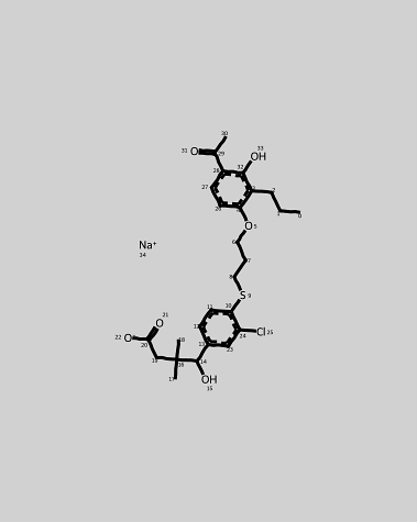 CCCc1c(OCCCSc2ccc(C(O)C(C)(C)CC(=O)[O-])cc2Cl)ccc(C(C)=O)c1O.[Na+]